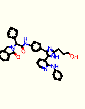 O=C(Nc1ccc(-c2nc(CCCO)[nH]c2-c2cccnc2Nc2ccccc2)cc1)C(c1ccccc1)N1Cc2ccccc2C1=O